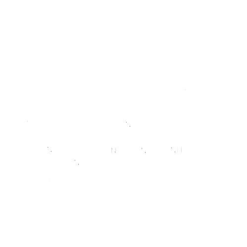 COc1cc2nc(N3CCCN(C(=O)N4CCOCC4)CC3)nc(N)c2c(OC2CCC2)c1OC